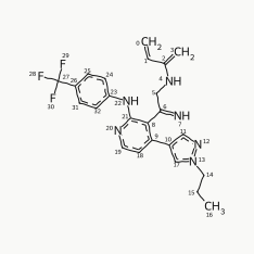 C=CC(=C)NCC(=N)c1c(-c2cnn(CCC)c2)ccnc1Nc1ccc(C(F)(F)F)cc1